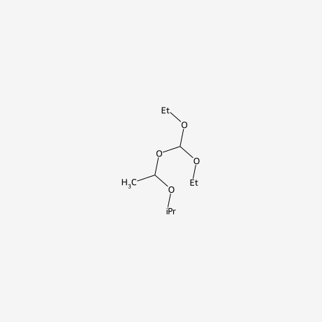 CCOC(OCC)OC(C)OC(C)C